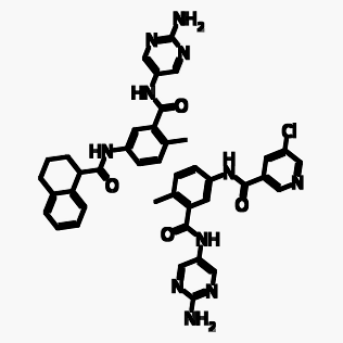 Cc1ccc(NC(=O)C2CCCc3ccccc32)cc1C(=O)Nc1cnc(N)nc1.Cc1ccc(NC(=O)c2cncc(Cl)c2)cc1C(=O)Nc1cnc(N)nc1